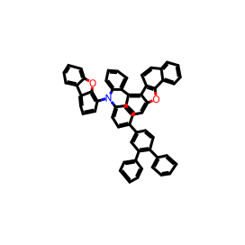 c1ccc(-c2ccc(-c3ccc(N(c4ccccc4-c4cccc5oc6c7ccccc7ccc6c45)c4cccc5c4oc4ccccc45)cc3)cc2-c2ccccc2)cc1